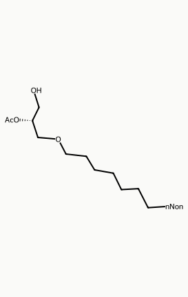 CCCCCCCCCCCCCCCCOC[C@@H](CO)OC(C)=O